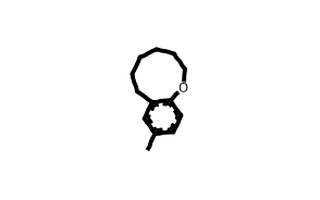 Cc1ccc2c(c1)CCCCCCO2